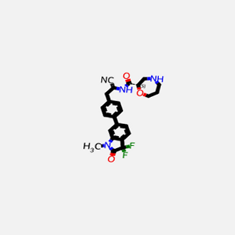 CN1C(=O)C(F)(F)c2ccc(-c3ccc(CC(C#N)NC(=O)[C@@H]4CNCCCO4)cc3)cc21